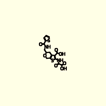 O=C(O)C(=O)Nc1sc2c(c1C(=O)O)CC(CNC(=O)c1cccs1)OC2